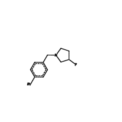 CC(C)c1ccc(CN2CCC(F)C2)cc1